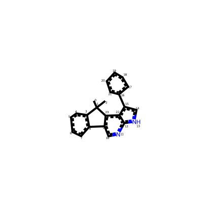 CC1(C)c2ccccc2-c2cnc3[nH]cc(-c4ccccc4)c3c21